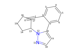 C#Cc1ccccc1-c1ccnn1C1CCCC1